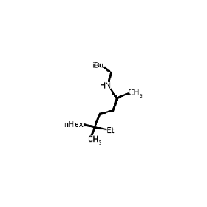 CCCCCCC(C)(CC)CCC(C)NCC(C)CC